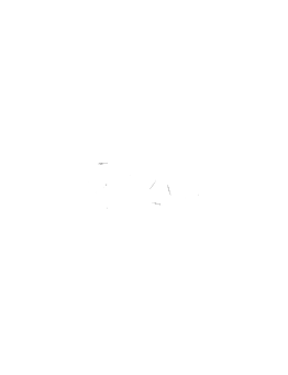 CC(=O)Oc1ccc2c(c1)CCC1C2CC[C@@]2(C)C1C=C[C@@H]2O